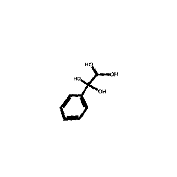 O[C](O)C(O)(O)c1ccccc1